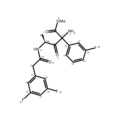 COC(=O)C(N)(C(=O)[C@H](C)NC(=O)Cc1cc(F)cc(F)c1)c1cccc(F)c1